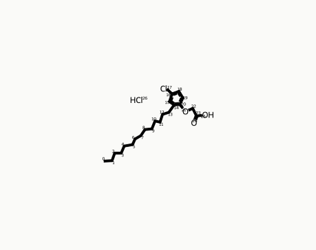 CCCCCCCCCCCCCCc1cc(Cl)ccc1OCC(=O)O.Cl